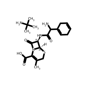 CC(C)(C)N.CC1=C(C(=O)O)N2C(=O)[C@@H](NC(=O)C(N)C3=CCC=CC3)[C@H]2SC1